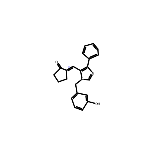 O=C1CCC/C1=C\c1c(-c2ccccc2)ncn1Cc1cccc(O)c1